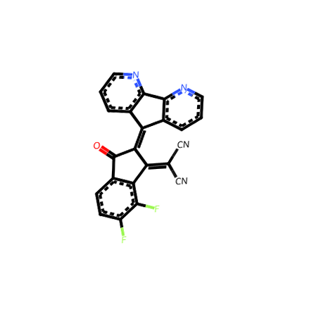 N#CC(C#N)=C1C(=C2c3cccnc3-c3ncccc32)C(=O)c2ccc(F)c(F)c21